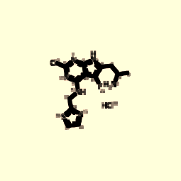 CC(N)Cc1[nH]c2nc(Cl)nc(NCc3nccs3)c2c1F.Cl